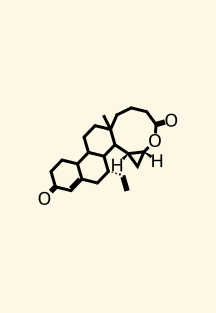 C=C[C@@H]1CC2=CC(=O)CCC2C2CCC3(C)CCCC(=O)O[C@@H]4C[C@@H]4C3C21